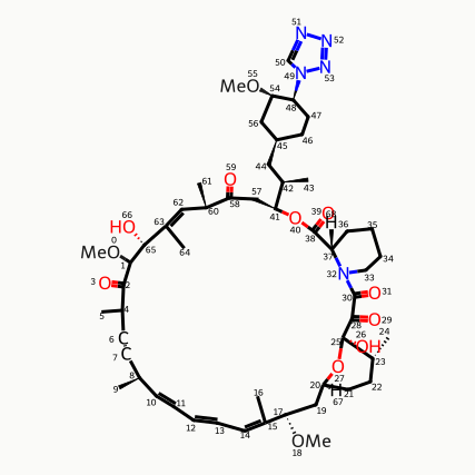 COC1C(=O)C(C)CC[C@H](C)/C=C/C=C/C=C(\C)[C@@H](OC)C[C@@H]2CC[C@@H](C)[C@@](O)(O2)C(=O)C(=O)N2CCCC[C@H]2C(=O)O[C@H]([C@H](C)C[C@@H]2CC[C@H](n3cnnn3)[C@H](OC)C2)CC(=O)[C@H](C)/C=C(\C)[C@H]1O